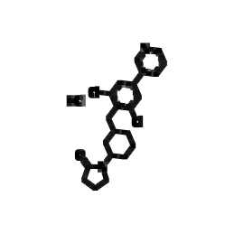 Cl.O=C1CCCN1C1CCCC(Cc2c(Cl)cc(-c3cccnc3)cc2Cl)C1